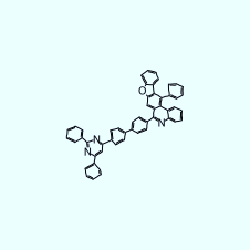 c1ccc(-c2cc(-c3ccc(-c4ccc(-c5nc6ccccc6c6c(-c7ccccc7)c7c(cc56)oc5ccccc57)cc4)cc3)nc(-c3ccccc3)n2)cc1